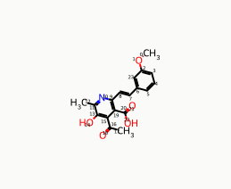 COc1cccc(C=Cc2nc(C)c(O)c(C(C)=O)c2C(=O)O)c1